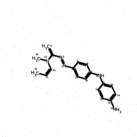 C=C(N=Nc1ccc(Nc2ccc(N)cc2)cc1)N(C)/C=C\C